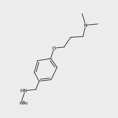 CCCCNCc1ccc(OCCCN(C)C)cc1